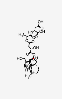 C[C@H](OC(=O)C[C@H](O)C(=O)OC1=CC[C@@]2(O)[C@H]3Cc4ccc(CO)c5c4[C@@]2(CCCN3C)[C@H]1O5)C(=O)N[C@@H](CC(=O)O)C(=O)O